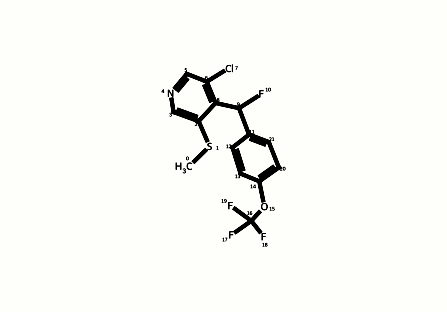 CSc1cncc(Cl)c1C(F)c1ccc(OC(F)(F)F)cc1